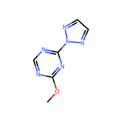 COc1ncnc(-n2nccn2)n1